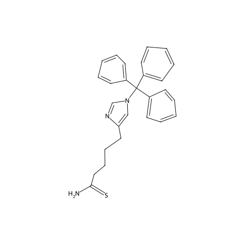 NC(=S)CCCCc1cn(C(c2ccccc2)(c2ccccc2)c2ccccc2)cn1